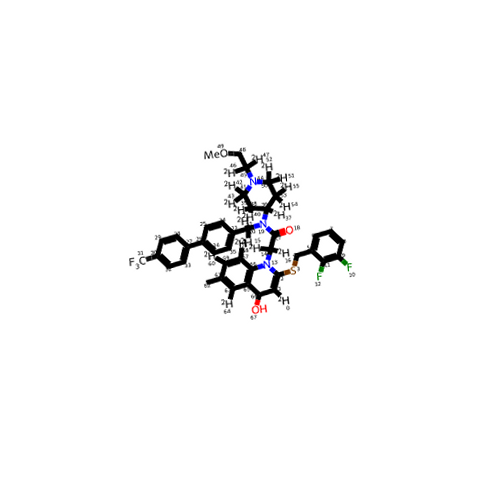 [2H]C1=C(SCc2cccc(F)c2F)N(C([2H])([2H])C(=O)N(C([2H])([2H])c2ccc(-c3ccc(C(F)(F)F)cc3)cc2)C2([2H])C([2H])([2H])C([2H])([2H])N(C([2H])([2H])COC)C([2H])([2H])C2([2H])[2H])c2c([2H])c([2H])c(C)c([2H])c2C1O